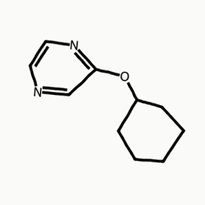 c1cnc(OC2CCCCC2)cn1